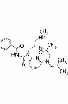 CNCCCn1c(NC(=O)c2ccccc2)nc2ccc(N(CC(C)C)CC(C)C)nc21